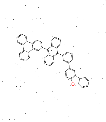 C1=CC2Oc3ccc(-c4cccc(-c5c6ccccc6c(-c6ccc7c8ccccc8c8ccccc8c7c6)c6ccccc56)c4)cc3C2C=C1